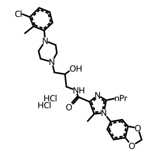 CCCc1nc(C(=O)NCC(O)CN2CCN(c3cccc(Cl)c3C)CC2)c(C)n1-c1ccc2c(c1)OCO2.Cl.Cl